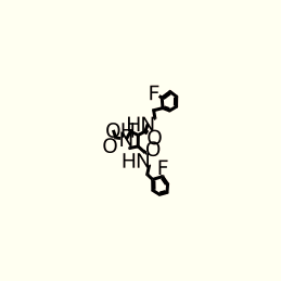 O=C(NCCc1ccccc1F)C1CN(C(=O)O)CC1C(=O)NCCc1ccccc1F